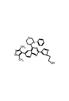 Cc1noc(C)c1-c1ccc2nc(-c3cnn(CCO)c3)nc(N3CCOC[C@@H]3c3ccccc3)c2c1